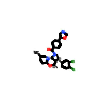 C[C@H](Oc1ccc(C#N)cn1)[C@H]1CN(C(=O)c2ccc(-c3cnco3)cc2)C[C@@H]1c1ccc(Cl)c(Cl)c1